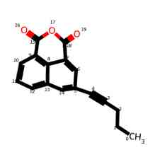 CCCC#Cc1cc2c3c(cccc3c1)C(=O)OC2=O